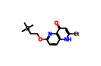 CCc1cc(=O)c2nc(OCC[Si](C)(C)C)ccc2[nH]1